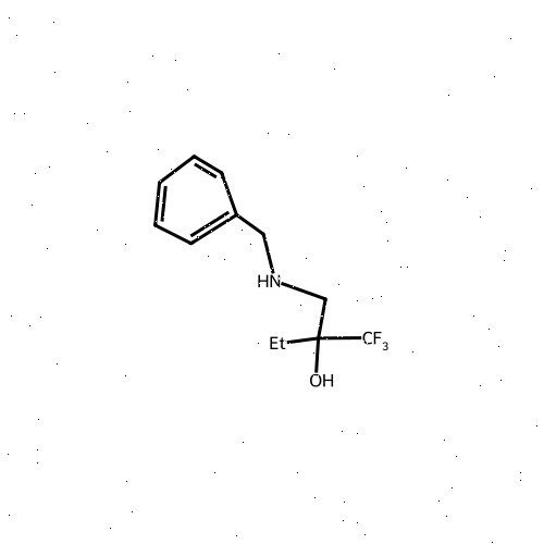 CCC(O)(CNCc1ccccc1)C(F)(F)F